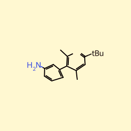 C=C(/C=C(/C)C(=C(C)C)c1cccc(N)c1)C(C)(C)C